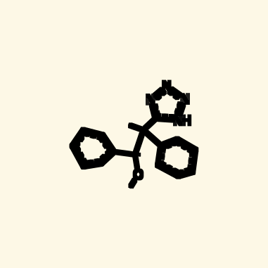 CO[C](c1ccccc1)C(C)(c1ccccc1)c1nnn[nH]1